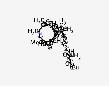 CO[C@@H]1/C=C/C=C(\C)Cc2cc(C)c(Cl)c(c2)N(C)C(=O)C[C@H](OC(=O)[C@H](C)N(C)C(=O)CCOCCOCCNC(=O)[C@@H](N)CCC(=O)OC(C)(C)C)[C@]2(C)OC2[C@H](C)[C@@H]2C[C@@]1(O)NC(=O)O2